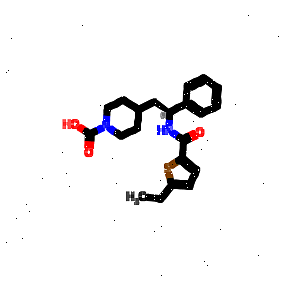 CCc1ccc(C(=O)N[C@@H](CC2CCN(C(=O)O)CC2)c2ccccc2)s1